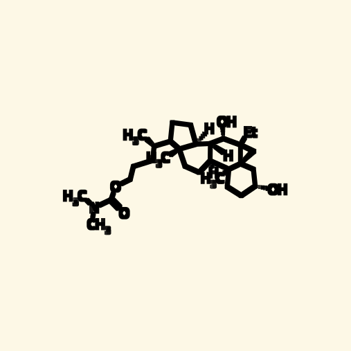 CCC12C[C@]13C[C@H](O)CC[C@]3(C)[C@H]1CC[C@]3(C)C([C@H](C)CCCOC(=O)N(C)C)CC[C@H]3[C@@H]1[C@@H]2O